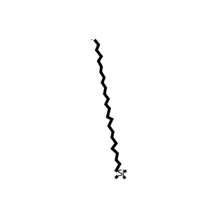 [CH2]CCCCCCCCCCCCCCCCCCCCCCCC[Si](C)(C)C